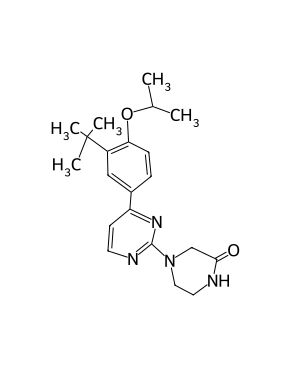 CC(C)Oc1ccc(-c2ccnc(N3CCNC(=O)C3)n2)cc1C(C)(C)C